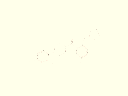 CC(=O)c1ccc(N2CCN(C(=O)c3cc([N+](=O)[O-])ccc3NC3CCCC3)CC2)c(F)c1